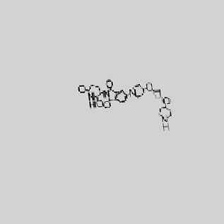 O=C1CCC(N2C(=O)c3ccc(N4CCC(OC5CC(OC6CCNCC6)C5)CC4)cc3C2=O)C(=O)N1